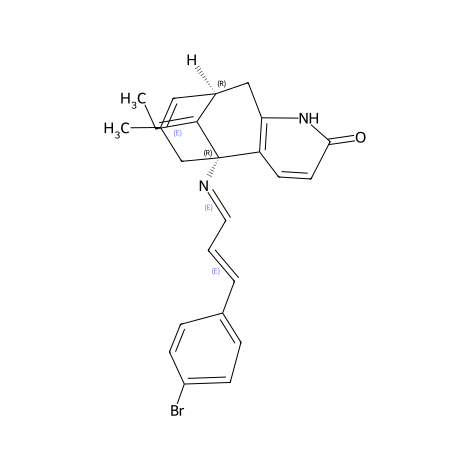 C/C=C1\[C@H]2C=C(C)C[C@]1(/N=C/C=C/c1ccc(Br)cc1)c1ccc(=O)[nH]c1C2